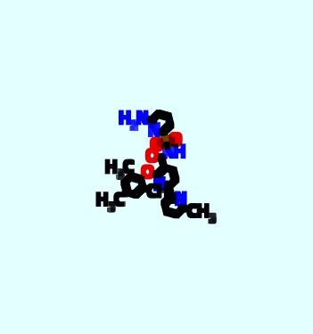 Cc1cc(C)c(Oc2nc(-c3cccc(C)n3)ccc2C(=O)NS(=O)(=O)c2cccc(N)n2)c(C)c1